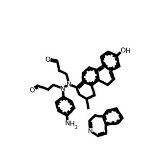 C1=Cc2ccccc2CC=N1.CC1CC(N(CCC=O)N(CCC=O)c2ccc(N)cc2)=c2ccc3c(c2C1)CC=c1cc(O)ccc1=3